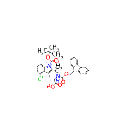 Cc1c(C[C@H](NC(=O)OCC2c3ccccc3-c3ccccc32)C(=O)O)c2c(Cl)cccc2n1C(=O)OC(C)(C)C